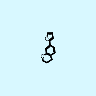 c1coc(-c2ccc3c(c2)OCCC3)c1